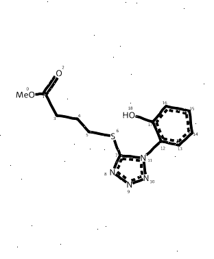 COC(=O)CCCSc1nnnn1-c1ccccc1O